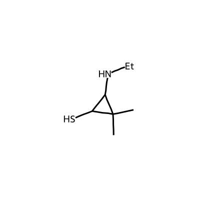 CCNC1C(S)C1(C)C